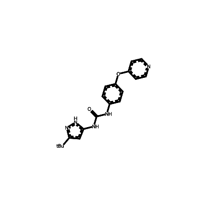 CC(C)(C)c1cc(NC(=O)Nc2ccc(Oc3ccncc3)cc2)[nH]n1